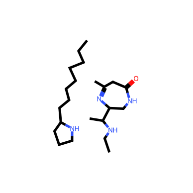 CCCCCCCCC1CCCN1.CCNC(C)C1CNC(=O)CC(C)=N1